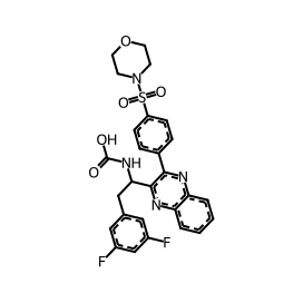 O=C(O)NC(Cc1cc(F)cc(F)c1)c1nc2ccccc2nc1-c1ccc(S(=O)(=O)N2CCOCC2)cc1